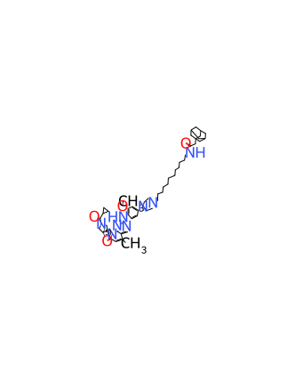 COc1cc(N2CCN(CCCCCCCCCCCCNC(=O)CC34CC5CC(CC(C5)C3)C4)CC2)ccc1Nc1ncc2c(C)cc(=O)n([C@H]3CCN(C(=O)C4CC4)C3)c2n1